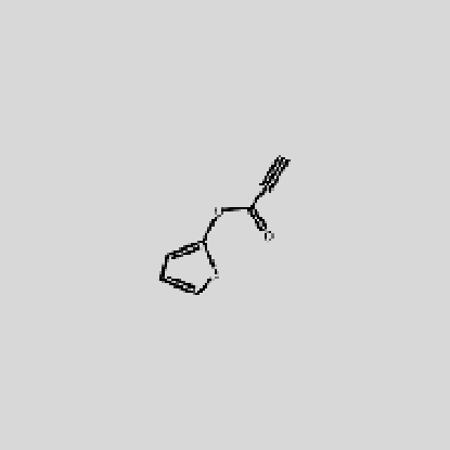 C#CC(=O)Oc1cccs1